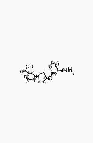 Nc1nc(OC2CCN(c3cc(C(=O)O)ncn3)CC2)ncc1F